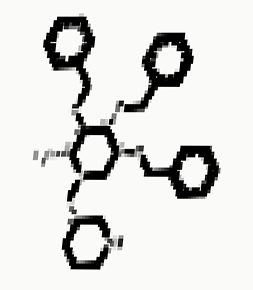 C[C@@H]1[C@@H](OCc2ccccc2)[C@H](OCc2ccccc2)[C@@H](OCc2ccccc2)CN1C[C@H]1CCCNC1